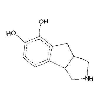 Oc1ccc2c(c1O)CC1CNCC21